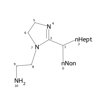 CCCCCCCCCC(CCCCCCC)C1=NCCN1CCN